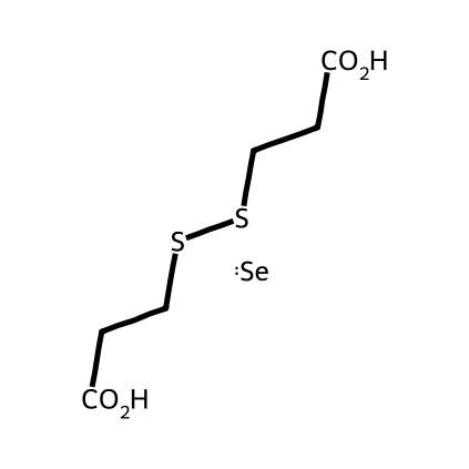 O=C(O)CCSSCCC(=O)O.[Se]